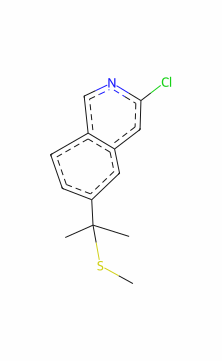 CSC(C)(C)c1ccc2cnc(Cl)cc2c1